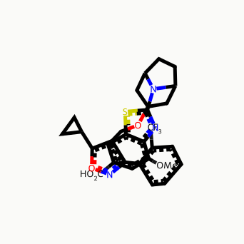 COc1cc(C(=O)O)cc2sc(N3C4CCC3CC(OCc3c(-c5ccccc5C(F)(F)F)noc3C3CC3)C4)nc12